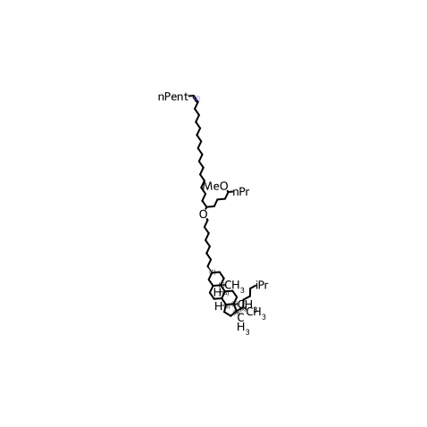 CCCCC/C=C\CCCCCCCCCCCCCCCC(CCCC(CCC)OC)OCCCCCCCC[C@H]1CC[C@@]2(C)C(CCC3[C@@H]2CC[C@@]2(C)[C@H]3CC[C@]2(C)[C@H](C)CCCC(C)C)C1